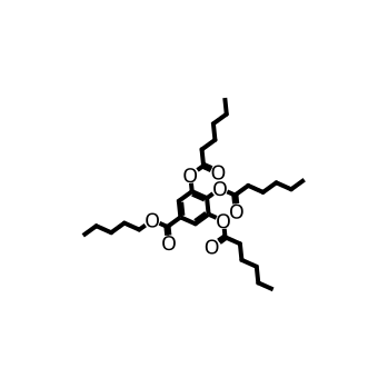 CCCCCOC(=O)c1cc(OC(=O)CCCCC)c(OC(=O)CCCCC)c(OC(=O)CCCCC)c1